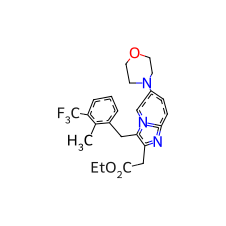 CCOC(=O)Cc1nc2ccc(N3CCOCC3)cn2c1Cc1cccc(C(F)(F)F)c1C